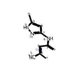 C=C(/C=C(\C)C#N)Nc1cc(C)[nH]n1